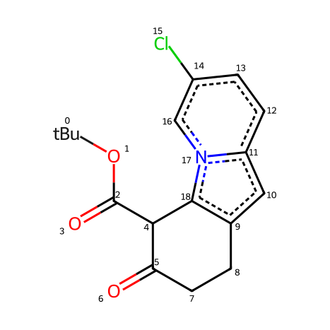 CC(C)(C)OC(=O)C1C(=O)CCc2cc3ccc(Cl)cn3c21